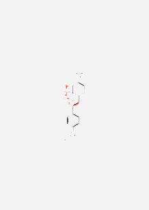 O=S(=O)(O)C1(S(=O)(=O)O)CC(N=C=S)=CCC1C=Cc1ccc(N=C=S)cc1